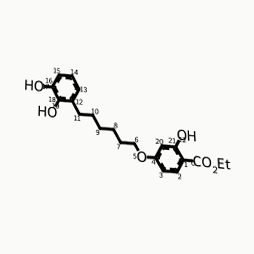 CCOC(=O)c1ccc(OCCCCCCc2cccc(O)c2O)cc1O